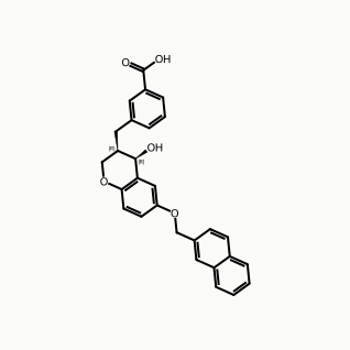 O=C(O)c1cccc(C[C@@H]2COc3ccc(OCc4ccc5ccccc5c4)cc3[C@@H]2O)c1